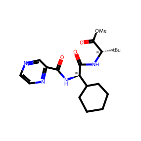 COC(=O)[C@@H](NC(=O)[C@H](NC(=O)c1cnccn1)C1CCCCC1)C(C)(C)C